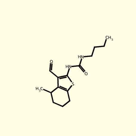 CCCCNC(=O)Nc1sc2c(c1C=O)C(C)CCC2